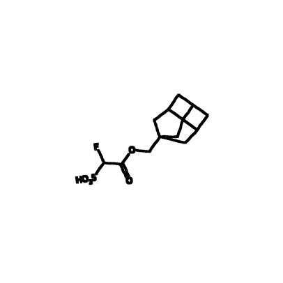 O=C(OCC12CC3CC4CC(C1)C43C2)C(F)S(=O)(=O)O